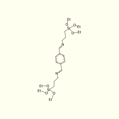 CCO[Si](CCCN=Cc1ccc(C=NCCC[Si](OCC)(OCC)OCC)cc1)(OCC)OCC